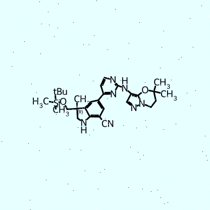 CC1(C)CCn2ncc(Nc3nccc(-c4cc(C#N)c5c(c4)[C@@](C)(CO[Si](C)(C)C(C)(C)C)CN5)n3)c2O1